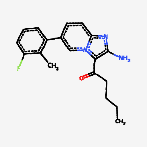 CCCCC(=O)c1c(N)nc2ccc(-c3cccc(F)c3C)cn12